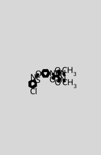 CN1CN(C)C(=O)C(C(=O)Nc2ccc(Oc3nc4ccc(Cl)cc4s3)cc2)C1=O